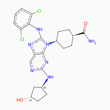 NC(=O)[C@H]1CC[C@@H](n2c(Nc3c(Cl)cccc3Cl)nc3cnc(N[C@H]4CC[C@H](O)C4)nc32)CC1